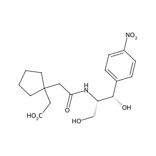 O=C(O)CC1(CC(=O)N[C@@H](CO)[C@@H](O)c2ccc([N+](=O)[O-])cc2)CCCC1